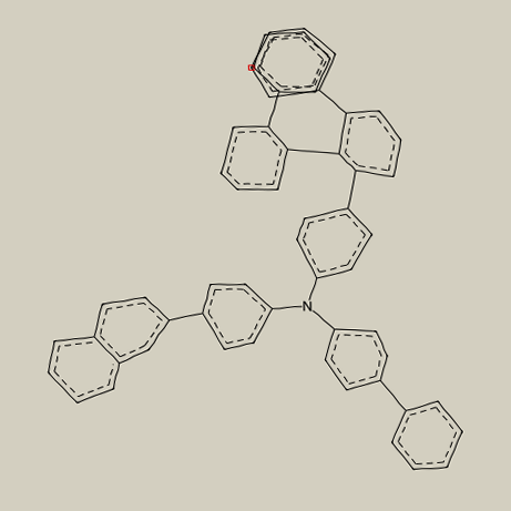 c1ccc(-c2ccc(N(c3ccc(-c4ccc5ccccc5c4)cc3)c3ccc(-c4cccc(-c5ccccc5)c4-c4ccccc4-c4ccccc4)cc3)cc2)cc1